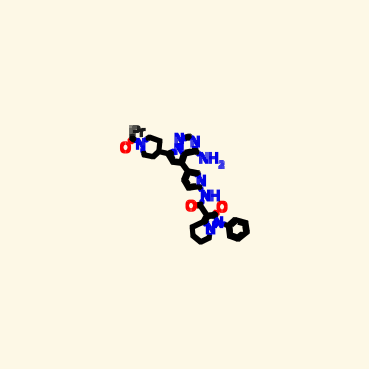 CC(C)C(=O)N1CCC(c2cc(-c3ccc(NC(=O)c4c5n(n(-c6ccccc6)c4=O)CCCC5)nc3)c3c(N)ncnn23)CC1